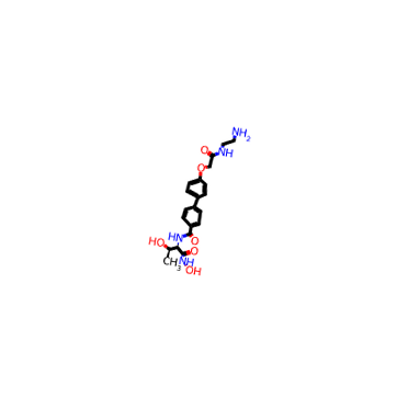 C[C@@H](O)[C@H](NC(=O)c1ccc(-c2ccc(OCC(=O)NCCN)cc2)cc1)C(=O)NO